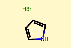 Br.c1cc[nH]c1